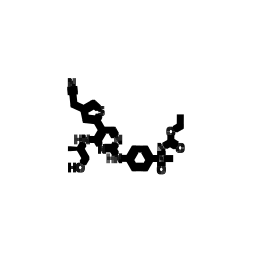 CCOC(=O)N=S(C)(=O)c1ccc(Nc2ncc(-c3cc(CC#N)cs3)c(N[C@H](C)CO)n2)cc1